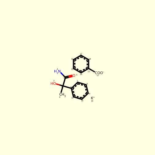 CC(O)(C(N)=O)c1ccccc1.O=C([O-])c1ccccc1.[K+]